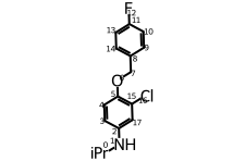 CC(C)Nc1ccc(OCc2ccc(F)cc2)c(Cl)c1